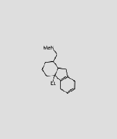 CCC12CCCC(CNC)C1CC1=C2CC=CC1